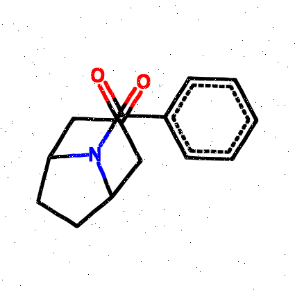 O=C1CC2CCC(C1)N2C(=O)c1ccccc1